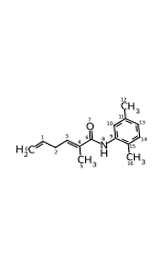 C=CC/C=C(\C)C(=O)Nc1cc(C)ccc1C